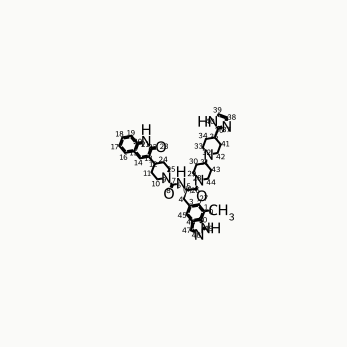 Cc1cc(C[C@@H](NC(=O)N2CCC(c3cc4ccccc4[nH]c3=O)CC2)C(=O)N2CCC(N3CCC(c4ncc[nH]4)CC3)CC2)cc2cn[nH]c12